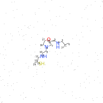 CC(C)CNC[C@H]1CN(CCNCC(C)S)CCO1